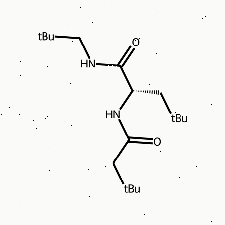 CC(C)(C)CNC(=O)[C@H](CC(C)(C)C)NC(=O)CC(C)(C)C